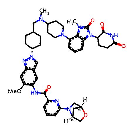 COc1cc2nn([C@H]3CC[C@H](CN(C)C4CCN(c5cccc6c5n(C)c(=O)n6C5CCC(=O)NC5=O)CC4)CC3)cc2cc1NC(=O)c1cccc(N2C[C@@H]3C[C@H]2CO3)n1